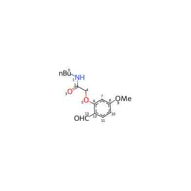 CCCCNC(=O)COc1cc(OC)ccc1C=O